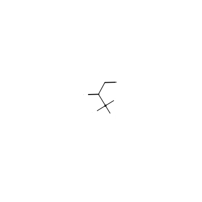 CC(CF)C(C)(C)C